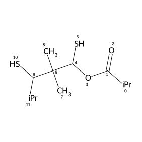 CC(C)C(=O)OC(S)C(C)(C)C(S)C(C)C